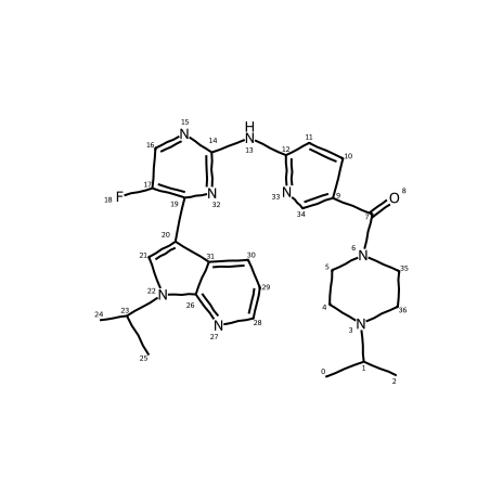 CC(C)N1CCN(C(=O)c2ccc(Nc3ncc(F)c(-c4cn(C(C)C)c5ncccc45)n3)nc2)CC1